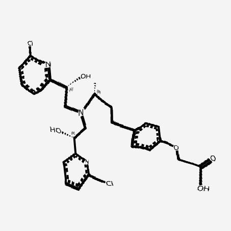 C[C@H](CCc1ccc(OCC(=O)O)cc1)N(C[C@@H](O)c1cccc(Cl)n1)C[C@@H](O)c1cccc(Cl)n1